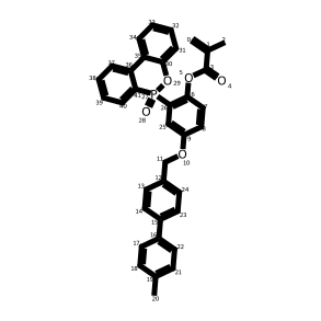 C=C(C)C(=O)Oc1ccc(OCc2ccc(-c3ccc(C)cc3)cc2)cc1P1(=O)Oc2ccccc2-c2ccccc21